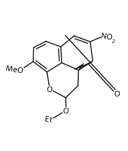 CCOC1CC23C=CC(=O)CC2C([N+](=O)[O-])=Cc2ccc(OC)c(c23)O1